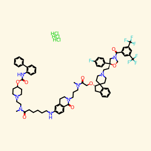 CN(CCN1CCC(OC(=O)Nc2ccccc2-c2ccccc2)CC1)C(=O)CCCCCNc1ccc2c(c1)CCN(CCCN(C)C(=O)CO[C@H]1Cc3ccccc3C13CCN(CC[C@@]1(c4ccc(F)cc4)CN(C(=O)c4cc(C(F)(F)F)cc(C(F)(F)F)c4)CO1)CC3)C2=O.Cl.Cl.Cl